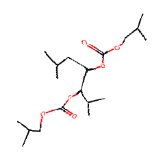 CC(C)COC(=O)OC(CC(C)C)C(OC(=O)OCC(C)C)C(C)C